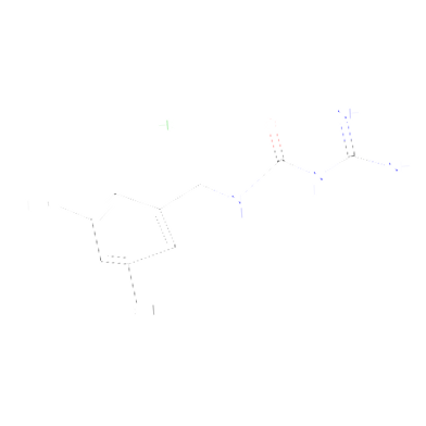 Cc1cc(C)cc(CNC(=O)NC(=N)N)c1.Cl